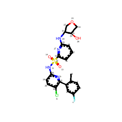 Cc1ccc(F)cc1-c1nc(NS(=O)(=O)c2cccc(NC3COC[C@H]3O)n2)ccc1Cl